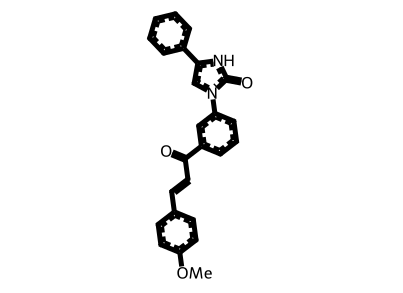 COc1ccc(C=CC(=O)c2cccc(-n3cc(-c4ccccc4)[nH]c3=O)c2)cc1